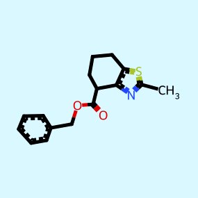 Cc1nc2c(s1)CCCC2C(=O)OCc1ccccc1